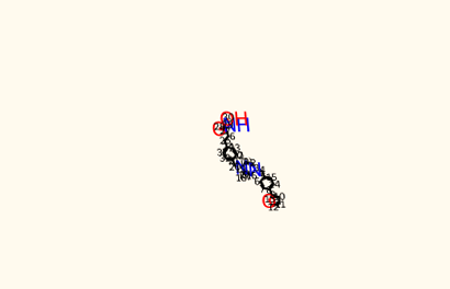 C[C@@H]1CN(Cc2ccc(-c3ccco3)cc2)C[C@H](C)N1Cc1ccc(CCC(=O)NO)cc1